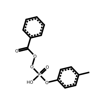 Cc1ccc(OP(=O)(O)OOC(=O)c2ccccc2)cc1